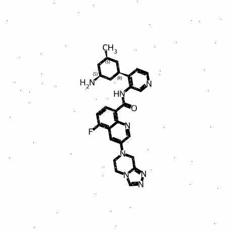 C[C@@H]1C[C@H](N)C[C@H](c2ccncc2NC(=O)c2ccc(F)c3cc(N4CCn5cnnc5C4)cnc23)C1